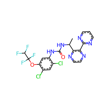 CC(NC(=O)Nc1cc(OC(F)(F)C(F)F)c(Cl)cc1Cl)c1nccnc1-c1ncccn1